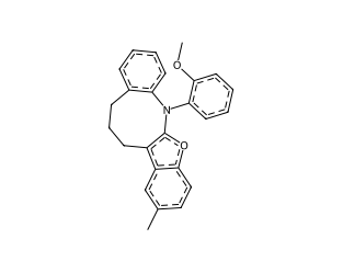 COc1ccccc1N1c2ccccc2CCCc2c1oc1ccc(C)cc21